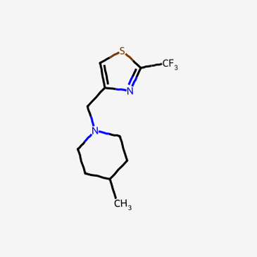 CC1CCN(Cc2csc(C(F)(F)F)n2)CC1